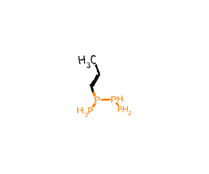 C/C=C/P(P)PP